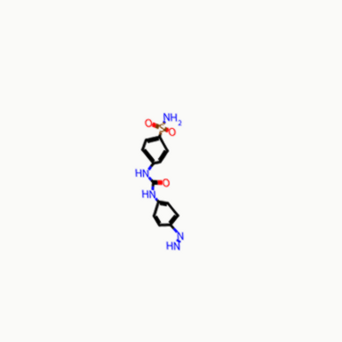 N=Nc1ccc(NC(=O)Nc2ccc(S(N)(=O)=O)cc2)cc1